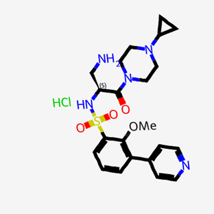 COc1c(-c2ccncc2)cccc1S(=O)(=O)N[C@@H](CN)C(=O)N1CCN(C2CC2)CC1.Cl